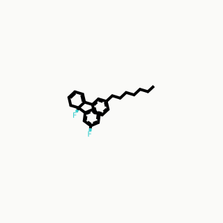 CCCCCCCc1cccc(C2=CC=CCC2(F)c2cccc(F)c2)c1